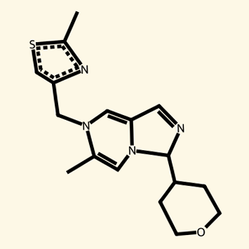 CC1=CN2C(=CN1Cc1csc(C)n1)C=NC2C1CCOCC1